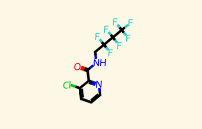 O=C(NCC(F)(F)C(F)(F)C(F)(F)F)c1ncccc1Cl